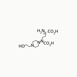 N[C@@H](CCN(C(=O)O)N1CCN(CCO)CC1)C(=O)O